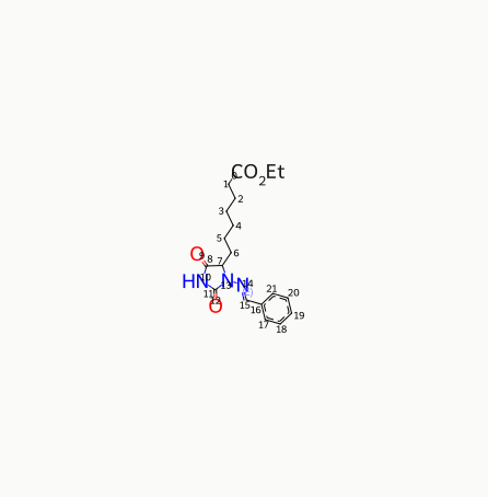 CCOC(=O)CCCCCCC1C(=O)NC(=O)N1/N=C/c1ccccc1